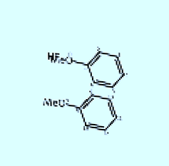 COc1ccccc1.COc1ccccc1.F